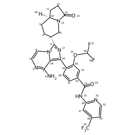 Nc1nccn2c([C@@H]3CC[C@H]4CCC(=O)N4C3)nc(-c3ccc(C(=O)Nc4cc(C(F)(F)F)ccn4)cc3OC(F)F)c12